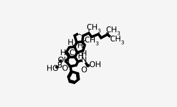 CC(C)CCC[C@@H](C)[C@H]1CC[C@H]2[C@@H]3CC=C4C[C@](OB(O)O)(c5ccccc5)CC(NC(=O)O)[C@]4(C)[C@H]3CC[C@]12C